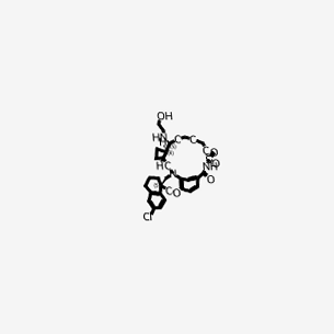 O=C1NS(=O)(=O)CCCCC[C@H](NCCO)[C@@H]2CC[C@H]2CN2C[C@@]3(CCCc4cc(Cl)ccc43)COc3ccc1cc32